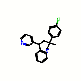 CC(C#N)(CC(c1ccccc1)c1cccnc1)c1ccc(Cl)cc1